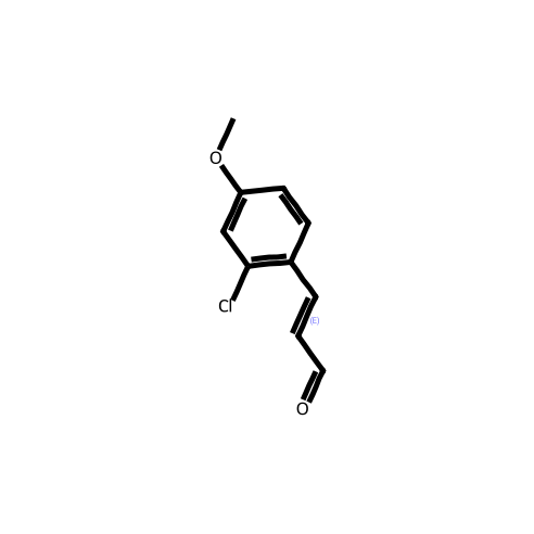 COc1ccc(/C=C/C=O)c(Cl)c1